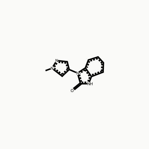 Cn1cc(-n2c(=O)[nH]c3ccccc32)cn1